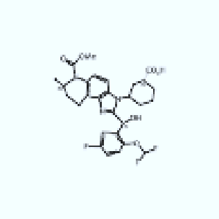 COC(=O)N1c2ccc3c(nc([C@@H](O)c4cc(F)ccc4OC(F)F)n3C3CCC[C@@H](C(=O)O)C3)c2CC[C@H]1C